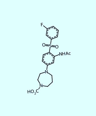 CC(=O)Nc1cc(N2CCCN(C(=O)O)CC2)ccc1S(=O)(=O)c1cccc(F)c1